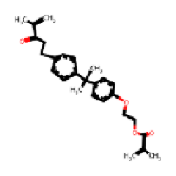 C=C(C)C(=O)CCc1ccc(C(C)(C)c2ccc(OCCOC(=O)C(=C)C)cc2)cc1